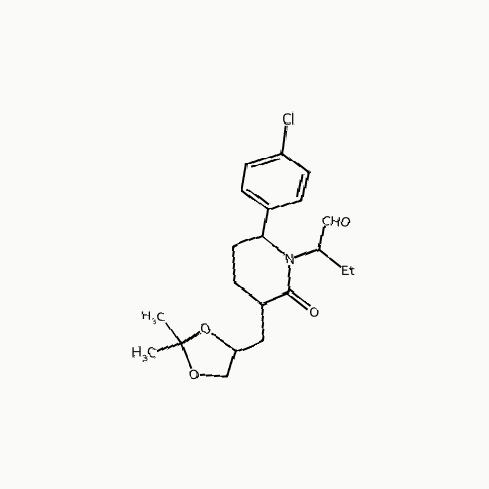 CCC(C=O)N1C(=O)C(CC2COC(C)(C)O2)CCC1c1ccc(Cl)cc1